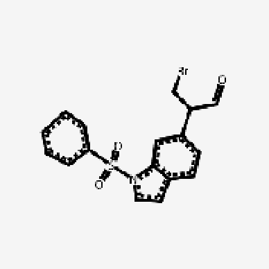 O=CC(CBr)c1ccc2ccn(S(=O)(=O)c3ccccc3)c2c1